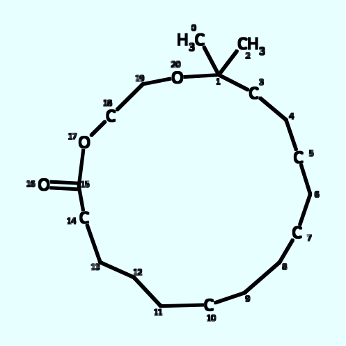 CC1(C)CCCCCCCCCCCCC(=O)OCCO1